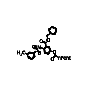 CCCCCC(=O)Oc1ccc(NS(=O)(=O)c2cc[c]c(C)c2)c(C(=O)OCc2ccccc2)c1